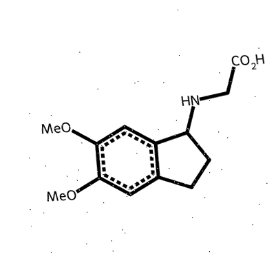 COc1cc2c(cc1OC)C(NCC(=O)O)CC2